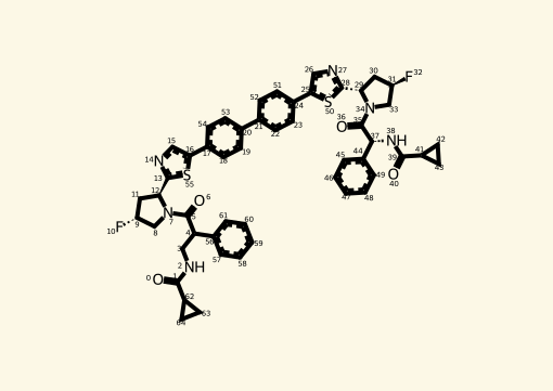 O=C(NCC(C(=O)N1C[C@H](F)C[C@H]1c1ncc(-c2ccc(-c3ccc(-c4cnc([C@@H]5C[C@@H](F)CN5C(=O)[C@H](NC(=O)C5CC5)c5ccccc5)s4)cc3)cc2)s1)c1ccccc1)C1CC1